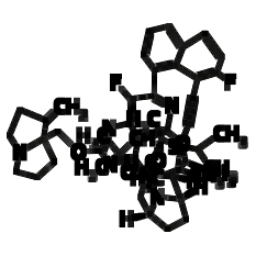 C=C1CCN2CCCC12COc1nc2c3c(nc(-c4cccc5ccc(F)c(C#C[Si](C(C)C)(C(C)C)C(C)C)c45)c(F)c3n1)O[C@@H](C)[C@@H]1[C@@H]3CC[C@H](CN21)N3C(=O)OC(C)(C)C